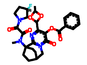 CC1OC(c2nc3n(c(=O)c2OC(=O)c2ccccc2)CC2CCC3(N(C)C(=O)C(=O)N3CC[C@@H](F)C3)CC2)O1